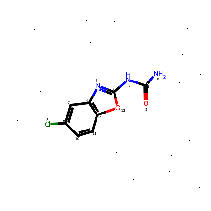 NC(=O)Nc1nc2cc(Cl)ccc2o1